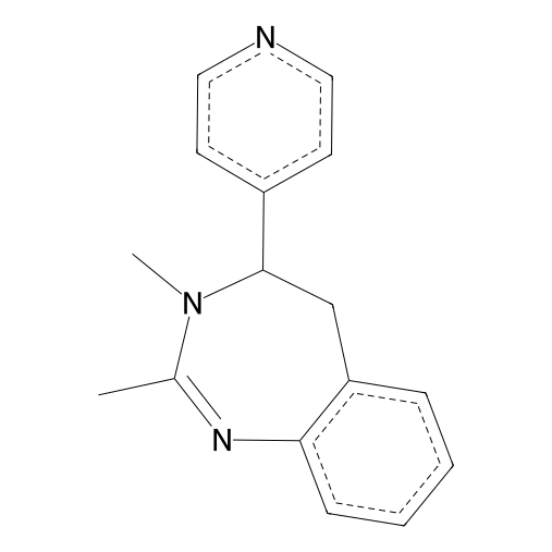 CC1=Nc2ccccc2CC(c2ccncc2)N1C